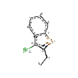 CCc1sc2ccccc2c1Br